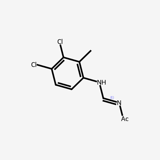 CC(=O)/N=C/Nc1ccc(Cl)c(Cl)c1C